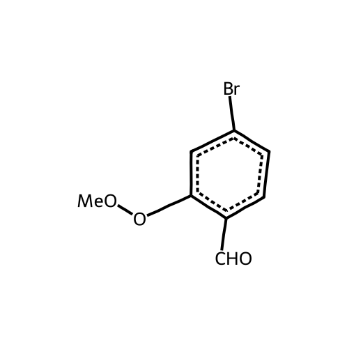 COOc1cc(Br)ccc1C=O